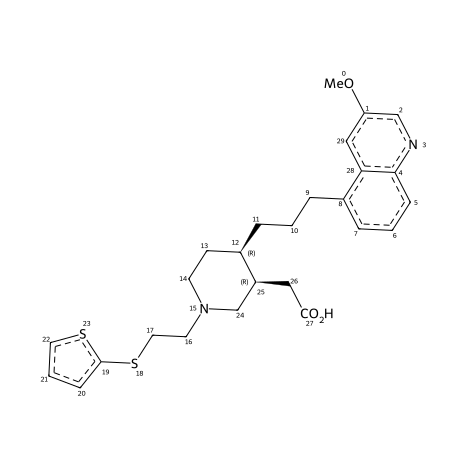 COc1cnc2cccc(CCC[C@@H]3CCN(CCSc4cccs4)C[C@@H]3CC(=O)O)c2c1